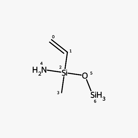 C=C[Si](C)(N)O[SiH3]